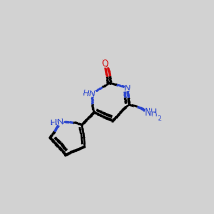 Nc1cc(-c2ccc[nH]2)[nH]c(=O)n1